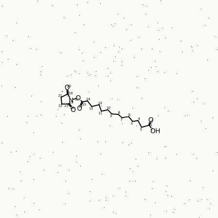 O=C(O)CCCCCCCCCCCCC(=O)ON1C(=O)CCC1=O